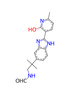 Cc1ccc(-c2nc3cc(C(C)(C)CNC=O)ccc3[nH]2)c(O)n1